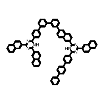 c1ccc(-c2ccc(-c3ccc(C4N=C(c5ccc6ccccc6c5)N=C(c5ccc6cc(-c7cccc(-c8cccc(-c9ccc(C%10N=C(c%11ccc%12ccccc%12c%11)N=C(c%11ccc%12ccccc%12c%11)N%10)cc9)c8)c7)ccc6c5)N4)cc3)cc2)cc1